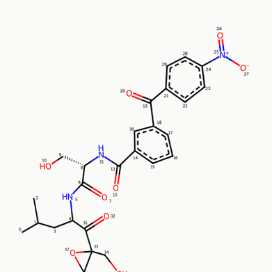 CC(C)CC(NC(=O)[C@H](CO)NC(=O)c1cccc(C(=O)c2ccc([N+](=O)[O-])cc2)c1)C(=O)C1(CO)CO1